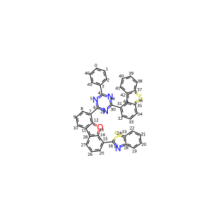 c1ccc(-c2nc(-c3cccc4c3oc3c(-c5nc6ccccc6s5)cccc34)nc(-c3cccc4sc5ccccc5c34)n2)cc1